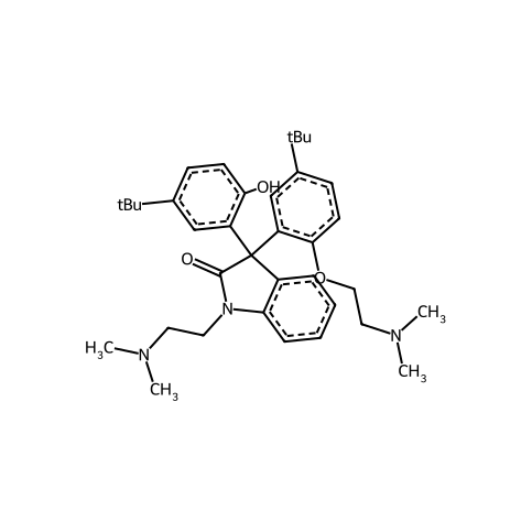 CN(C)CCOc1ccc(C(C)(C)C)cc1C1(c2cc(C(C)(C)C)ccc2O)C(=O)N(CCN(C)C)c2ccccc21